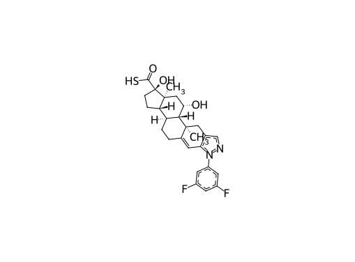 C[C@]12Cc3cnn(-c4cc(F)cc(F)c4)c3C=C1CC[C@@H]1[C@@H]2[C@@H](O)C[C@@]2(C)[C@H]1CC[C@]2(O)C(=O)S